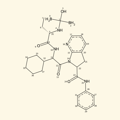 BC(B)(O)N[C@@H](CC)C(=O)NC(C(=O)N1c2ncccc2CC1C(=O)Nc1ccccc1)C1CCCCC1